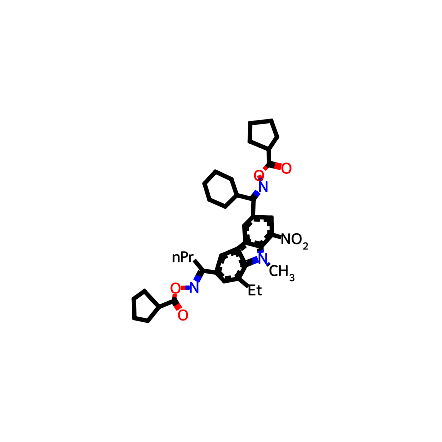 CCC/C(=N\OC(=O)C1CCCC1)c1cc(CC)c2c(c1)c1cc(/C(=N/OC(=O)C3CCCC3)C3CCCCC3)cc([N+](=O)[O-])c1n2C